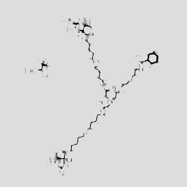 N=C1N[C@H]2[C@H](CS[C@H]2CCCCCOCCCCNC(=O)CN(CCOCCOCCNC(=O)c2cccc(I)c2)CC(=O)NCCCCOCCCCC[C@@H]2SC[C@@H]3NC(=N)N[C@@H]32)N1.O=C(O)C(F)(F)F